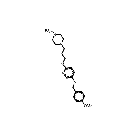 COc1ccc(CSc2ccc(OCCCN3CCN(C(=O)O)CC3)nc2)cc1